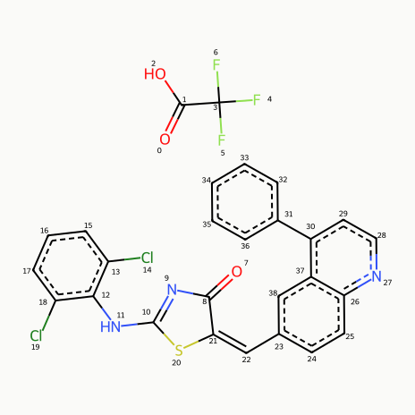 O=C(O)C(F)(F)F.O=C1N=C(Nc2c(Cl)cccc2Cl)SC1=Cc1ccc2nccc(-c3ccccc3)c2c1